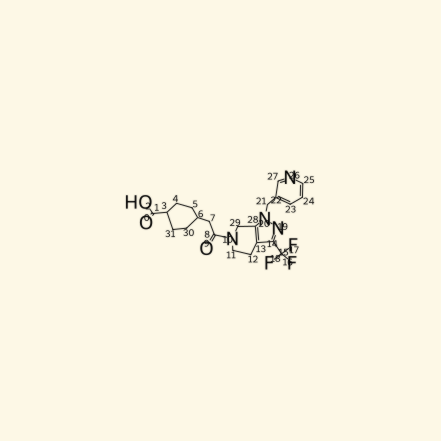 O=C(O)C1CCC(CC(=O)N2CCc3c(C(F)(F)F)nn(Cc4cccnc4)c3C2)CC1